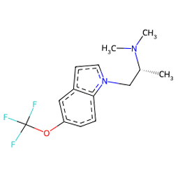 C[C@H](Cn1ccc2cc(OC(F)(F)F)ccc21)N(C)C